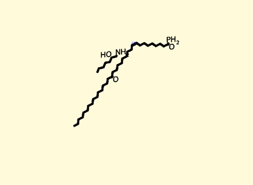 CCCCCC(O)CN.CCCCCCCCCCCCCCCC(=O)CCCCCCCC/C=C\CCCCCCCC(=O)P